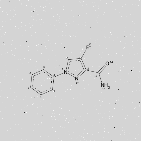 CCc1cn(-c2ccccc2)nc1C(N)=O